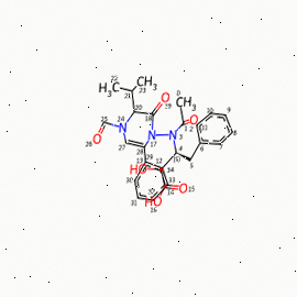 CC(=O)N([C@@H](Cc1ccccc1)C(O)C(=O)O)N1C(=O)C(C(C)C)N(C=O)C=C1c1ccccc1